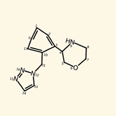 c1ccc(C2COCCN2)c(Cn2ccnn2)c1